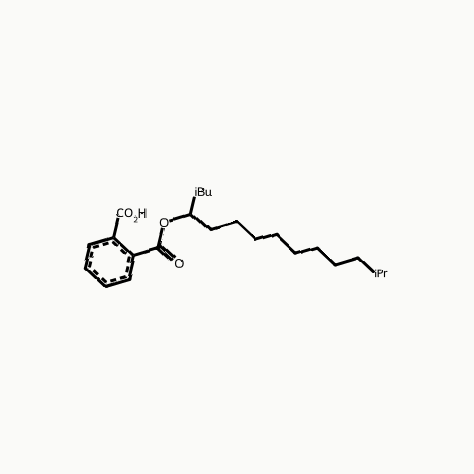 CCC(C)C(CCCCCCCCC(C)C)OC(=O)c1ccccc1C(=O)O